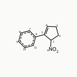 O=[N+]([O-])C1CCC=C1c1ccccc1